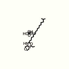 CCCN1CCOCC1NC(=O)CCCCCCCCCCCCCCC(C)C.O=P(O)(O)O